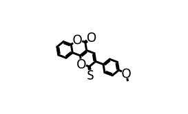 COc1ccc(-c2cc3c(=O)oc4ccccc4c3oc2=S)cc1